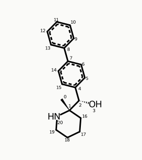 C[C@@]1([C@@H](O)c2ccc(-c3ccccc3)cc2)CCCCN1